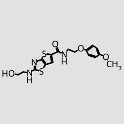 COc1ccc(OCCNC(=O)c2cc3sc(NCCO)nc3s2)cc1